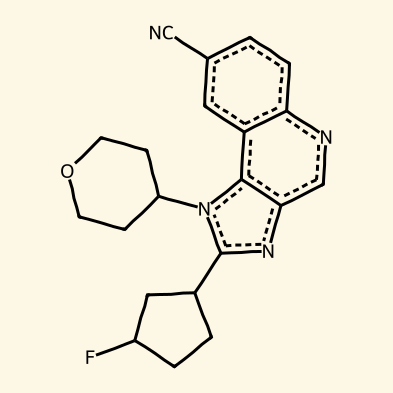 N#Cc1ccc2ncc3nc(C4CCC(F)C4)n(C4CCOCC4)c3c2c1